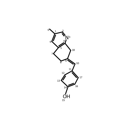 Cc1cnc2c(c1)CCC(=Cc1ccc(O)cc1)C2